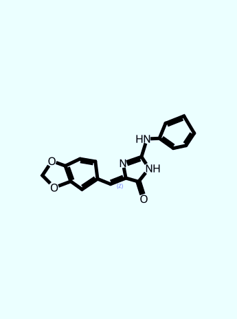 O=C1NC(Nc2ccccc2)=N/C1=C\c1ccc2c(c1)OCO2